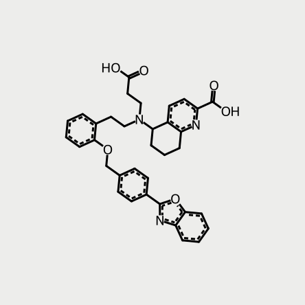 O=C(O)CCN(CCc1ccccc1OCc1ccc(-c2nc3ccccc3o2)cc1)C1CCCc2nc(C(=O)O)ccc21